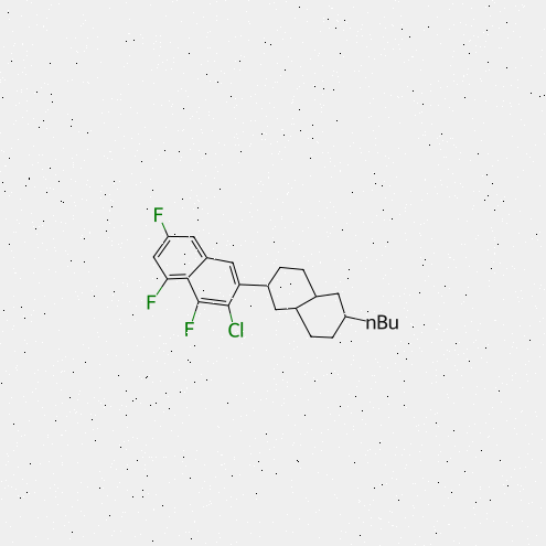 CCCCC1CCC2CC(c3cc4cc(F)cc(F)c4c(F)c3Cl)CCC2C1